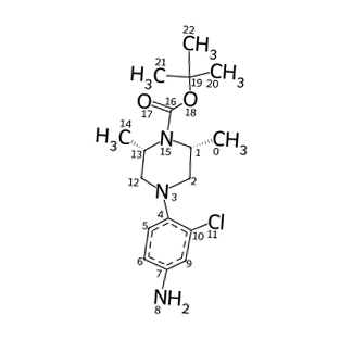 C[C@@H]1CN(c2ccc(N)cc2Cl)C[C@H](C)N1C(=O)OC(C)(C)C